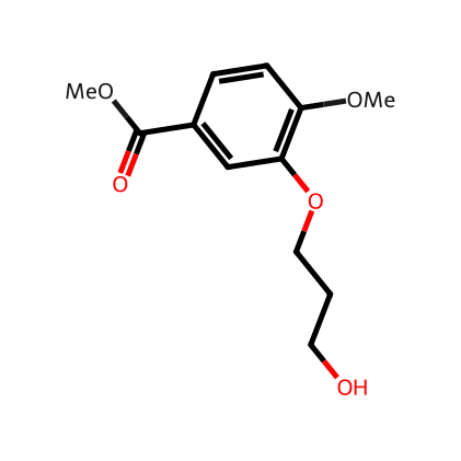 COC(=O)c1ccc(OC)c(OCCCO)c1